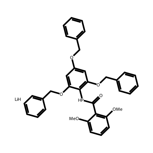 COc1cccc(OC)c1C(=O)Pc1c(OCc2ccccc2)cc(OCc2ccccc2)cc1OCc1ccccc1.[LiH]